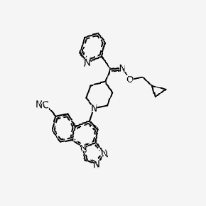 N#Cc1ccc2c(c1)c(N1CCC(/C(=N\OCC3CC3)c3ccccn3)CC1)cc1nncn12